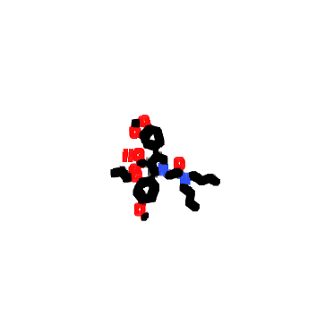 CCCCN(CCCC)C(=O)CN1C[C@H](c2ccc3c(c2)OCO3)[C@H](C(=O)O)[C@H]1c1ccc(OC)cc1OCCC